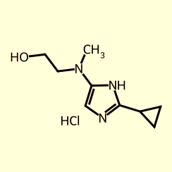 CN(CCO)c1cnc(C2CC2)[nH]1.Cl